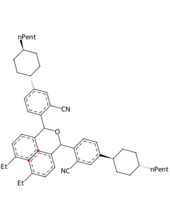 CCCCC[C@H]1CC[C@H](c2ccc(C(OC(c3ccc(CC)cc3)c3ccc([C@H]4CC[C@H](CCCCC)CC4)cc3C#N)c3ccc(CC)cc3)c(C#N)c2)CC1